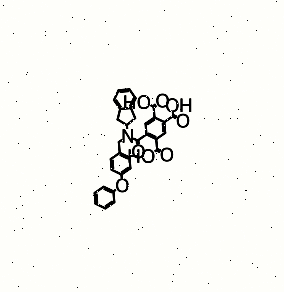 O=C(O)c1cc(C(=O)O)c(C(=O)N(Cc2ccc(Oc3ccccc3)cc2)C2Cc3ccccc3C2)cc1C(=O)O